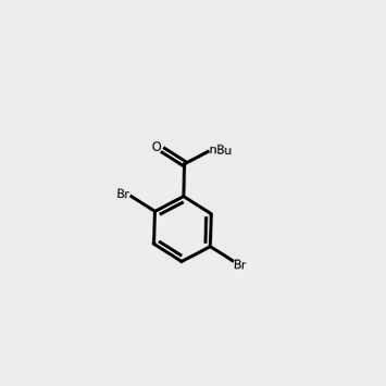 CCCCC(=O)c1cc(Br)ccc1Br